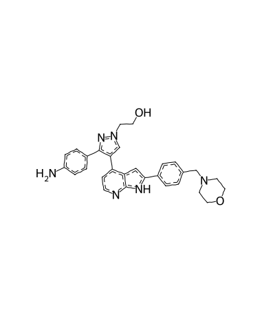 Nc1ccc(-c2nn(CCO)cc2-c2ccnc3[nH]c(-c4ccc(CN5CCOCC5)cc4)cc23)cc1